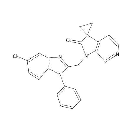 O=C1N(Cc2nc3cc(Cl)ccc3n2-c2ccccc2)c2cnccc2C12CC2